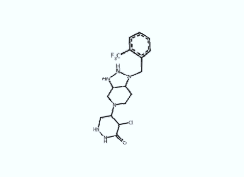 O=C1NNCC(N2CCC3C(C2)NNN3Cc2ccccc2C(F)(F)F)C1Cl